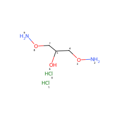 Cl.Cl.NOCC(O)CON